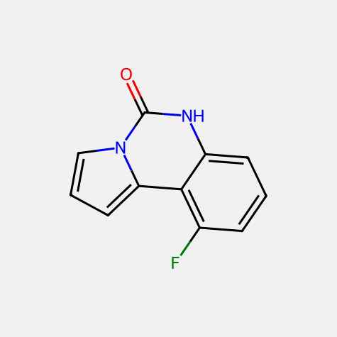 O=c1[nH]c2cccc(F)c2c2cccn12